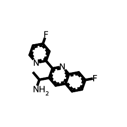 CC(N)c1cc2ccc(F)cc2nc1-c1cc(F)ccn1